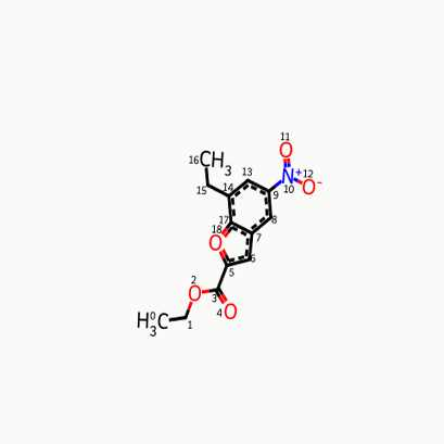 CCOC(=O)c1cc2cc([N+](=O)[O-])cc(CC)c2o1